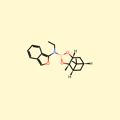 CCN(B1O[C@@H]2C[C@@H]3C[C@@H](C3(C)C)[C@]2(C)O1)c1occ2ccccc12